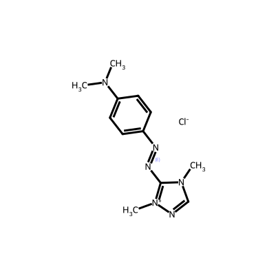 CN(C)c1ccc(/N=N/c2n(C)cn[n+]2C)cc1.[Cl-]